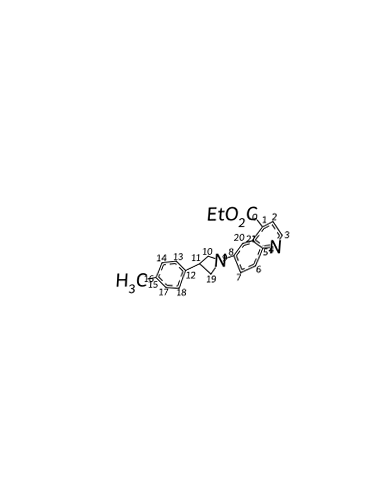 CCOC(=O)c1ccnc2ccc(N3CC(c4ccc(C)cc4)C3)cc12